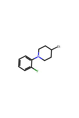 [CH2]CC1CCN(c2ccccc2F)CC1